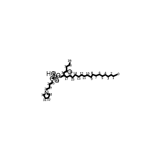 CCCCCCCCCCCCCCCCCCC(COP(=O)(O)OCCCCN1CCCC1)CC(=O)CCC